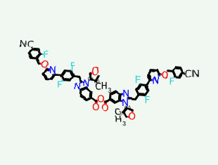 C[C@H]1COC[C@H]1n1c(Cc2cc(F)c(-c3cccc(OCc4ccc(C#N)cc4F)n3)cc2F)nc2ccc(C(=O)OC(=O)c3ccc4nc(Cc5cc(F)c(-c6cccc(OCc7ccc(C#N)cc7F)n6)cc5F)n([C@@H]5COC[C@@H]5C)c4c3)cc21